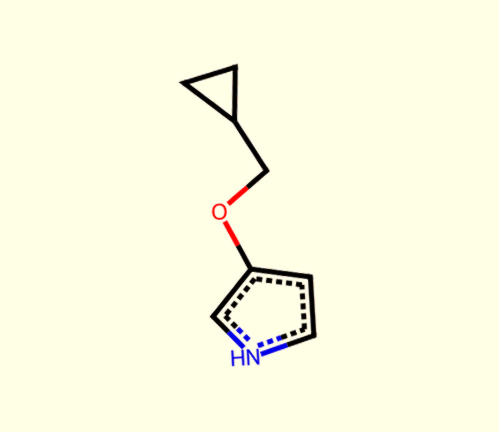 c1cc(OCC2CC2)c[nH]1